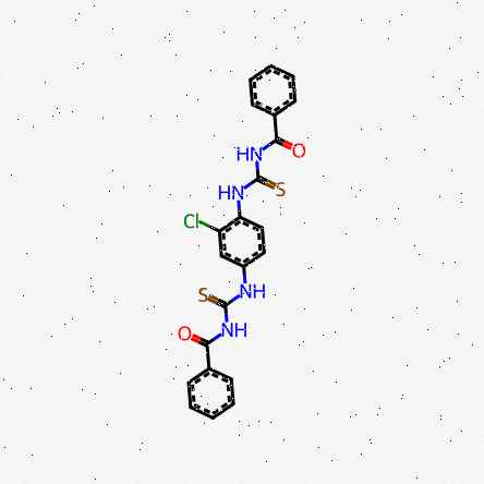 O=C(NC(=S)Nc1ccc(NC(=S)NC(=O)c2ccccc2)c(Cl)c1)c1ccccc1